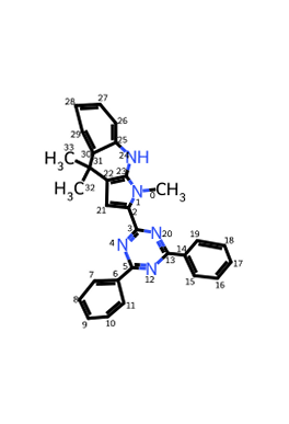 Cn1c(-c2nc(-c3ccccc3)nc(-c3ccccc3)n2)cc2c1Nc1ccccc1C2(C)C